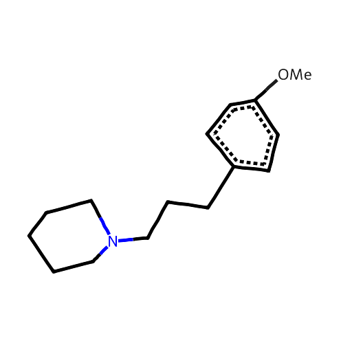 COc1ccc(CCCN2CCCCC2)cc1